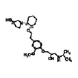 COc1cc(CCO[C@H]2CCCC[C@H]2N2CC[C@@H](O)C2)ccc1OCC(O)CNC(C)C